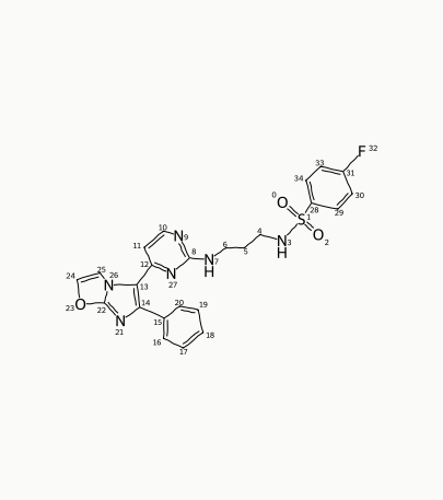 O=S(=O)(NCCCNc1nccc(-c2c(-c3ccccc3)nc3occn23)n1)c1ccc(F)cc1